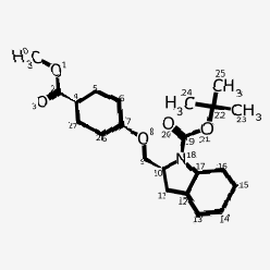 COC(=O)[C@H]1CC[C@@H](OC[C@@H]2CC3CCCCC3N2C(=O)OC(C)(C)C)CC1